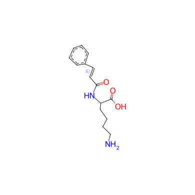 NCCCCC(NC(=O)/C=C/c1ccccc1)C(=O)O